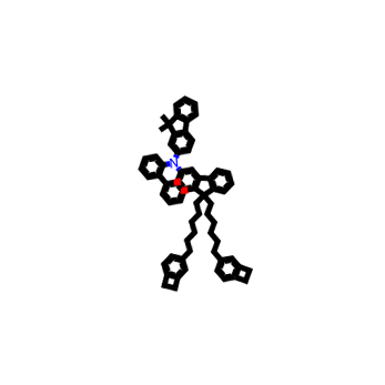 CC1(C)c2ccccc2-c2ccc(N(c3ccc4c(c3)-c3ccccc3C4(CCCCCCc3ccc4c(c3)CC4)CCCCCCc3ccc4c(c3)CC4)c3ccccc3-c3ccccc3)cc21